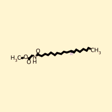 CCCCCC/C=C/CCCCCCCCCC(=O)NCC(=O)OCC